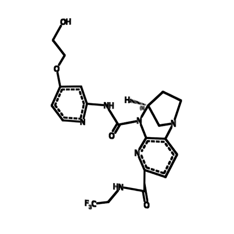 O=C(NCC(F)(F)F)c1ccc2c(n1)N(C(=O)Nc1cc(OCCO)ccn1)[C@H]1CCN2C1